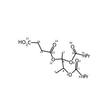 CCCC(=O)OC(C)C(C)(OC(=O)CCC)OC(=O)CCC(=O)O